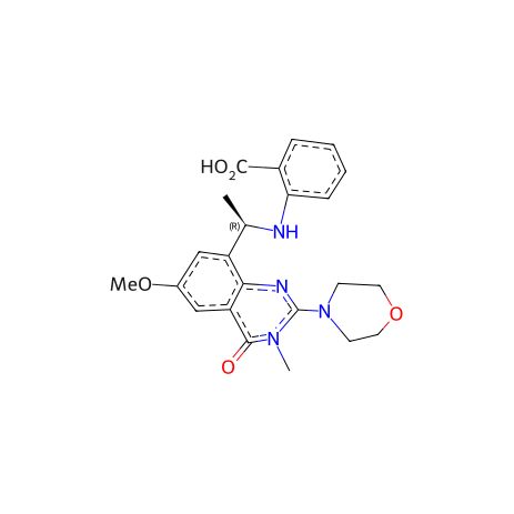 COc1cc([C@@H](C)Nc2ccccc2C(=O)O)c2nc(N3CCOCC3)n(C)c(=O)c2c1